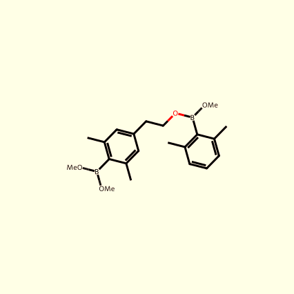 COB(OC)c1c(C)cc(CCOB(OC)c2c(C)cccc2C)cc1C